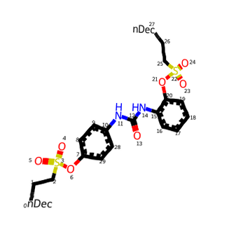 CCCCCCCCCCCCS(=O)(=O)Oc1ccc(NC(=O)Nc2ccccc2OS(=O)(=O)CCCCCCCCCCCC)cc1